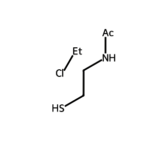 CC(=O)NCCS.CCCl